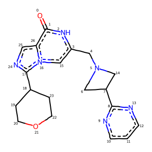 O=c1[nH]c(CN2CC(c3ncccn3)C2)cn2c(C3CCOCC3)ncc12